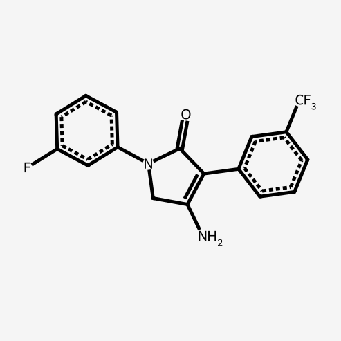 NC1=C(c2cccc(C(F)(F)F)c2)C(=O)N(c2cccc(F)c2)C1